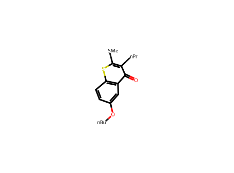 CCCCOc1ccc2sc(SC)c(CCC)c(=O)c2c1